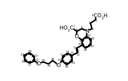 O=C(O)CCCN1CC(C(=O)O)Oc2c(C=Cc3ccc(OCCCOc4ccccc4)cc3)cccc21